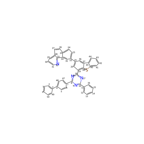 c1ccc(-c2ccc(-c3nc(-c4ccccc4)nc(-c4cc(-c5ccc6ccc7cccnc7c6c5)cc5c4sc4ccccc45)n3)cc2)cc1